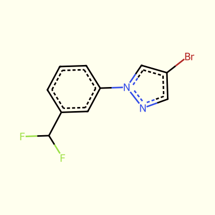 FC(F)c1cccc(-n2cc(Br)cn2)c1